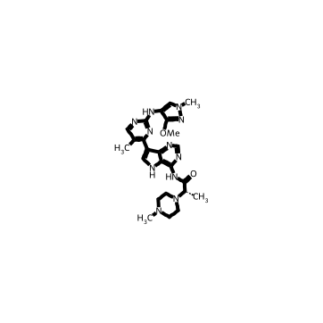 COc1nn(C)cc1Nc1ncc(C)c(-c2c[nH]c3c(NC(=O)[C@H](C)N4CCN(C)CC4)ncnc23)n1